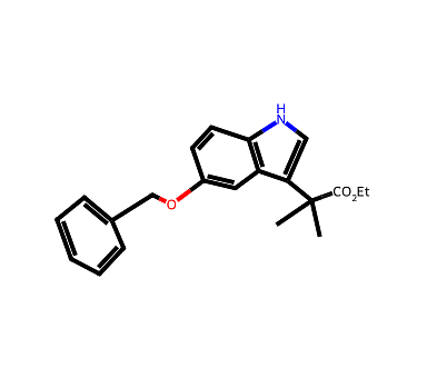 CCOC(=O)C(C)(C)c1c[nH]c2ccc(OCc3ccccc3)cc12